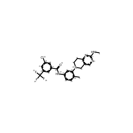 CNc1ncc2c(n1)CCN(c1cc(NC(=O)c3cc(Cl)cc(C(F)(F)F)c3)ccc1C)C2